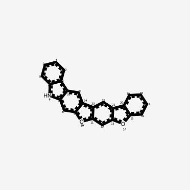 c1ccc2c(c1)[nH]c1cc3oc4cc5oc6ccccc6c5cc4c3cc12